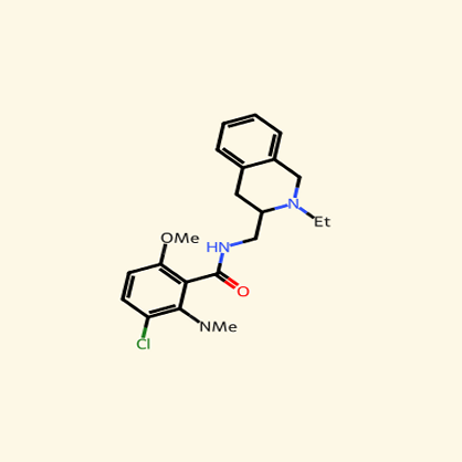 CCN1Cc2ccccc2CC1CNC(=O)c1c(OC)ccc(Cl)c1NC